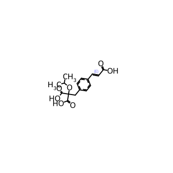 CC(C)OC(Cc1ccc(/C=C/C(=O)O)cc1)(C(=O)O)C(=O)O